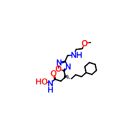 COCCNCc1noc([C@H](CCCC2CCCCC2)CC(=O)NO)n1